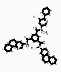 Cc1cc(N(C)C(=O)c2cc(C(=O)N(C)c3cnc4c(ccc5ccccc54)c3)cc(C(=O)N(C)c3cnc4c(ccc5ccccc54)c3)c2)cnc1-c1ccccc1